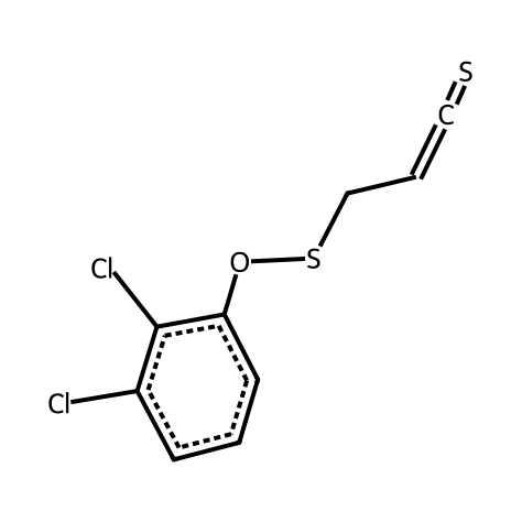 S=C=CCSOc1cccc(Cl)c1Cl